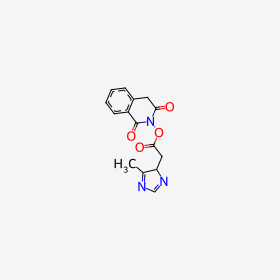 CC1=NC=NC1CC(=O)ON1C(=O)Cc2ccccc2C1=O